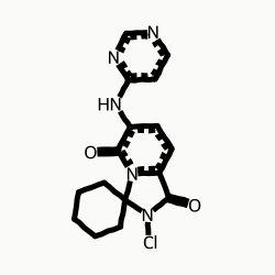 O=C1c2ccc(Nc3ccncn3)c(=O)n2C2(CCCCC2)N1Cl